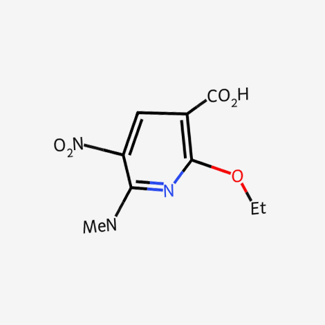 CCOc1nc(NC)c([N+](=O)[O-])cc1C(=O)O